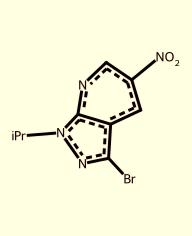 CC(C)n1nc(Br)c2cc([N+](=O)[O-])cnc21